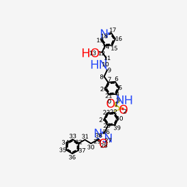 O=S(=O)(Nc1ccc(CCNCC(O)c2cccnc2)cc1)c1ccc(-c2noc(CCc3ccccc3)n2)cc1